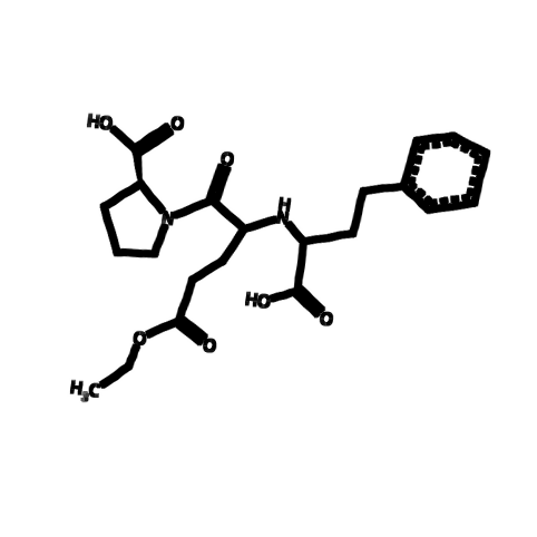 CCOC(=O)CCC(NC(CCc1ccccc1)C(=O)O)C(=O)N1CCC[C@H]1C(=O)O